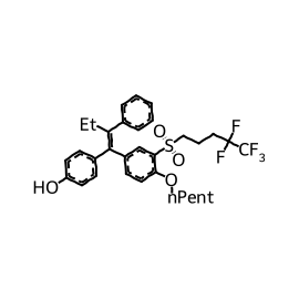 CCCCCOc1ccc(C(=C(CC)c2ccccc2)c2ccc(O)cc2)cc1S(=O)(=O)CCCC(F)(F)C(F)(F)F